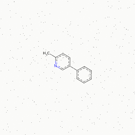 Cc1[c]cc(-c2ccccc2)cn1